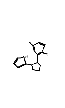 Fc1ccc(F)c([C@H]2CCCN2c2ccc[nH]2)c1